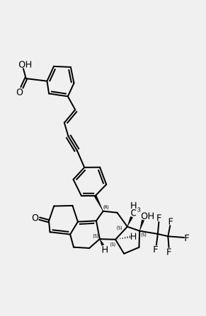 C[C@]12C[C@H](c3ccc(C#CC=Cc4cccc(C(=O)O)c4)cc3)C3=C4CCC(=O)C=C4CC[C@H]3[C@@H]1CC[C@@]2(O)C(F)(F)C(F)(F)F